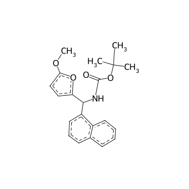 COc1ccc(C(NC(=O)OC(C)(C)C)c2cccc3ccccc23)o1